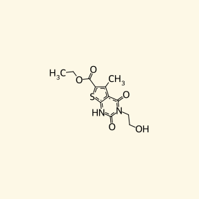 CCOC(=O)c1sc2[nH]c(=O)n(CCO)c(=O)c2c1C